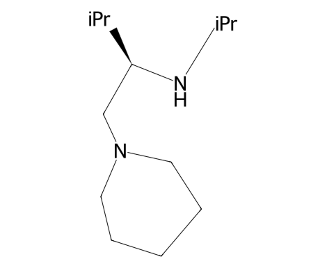 CC(C)N[C@@H](CN1CCCCC1)C(C)C